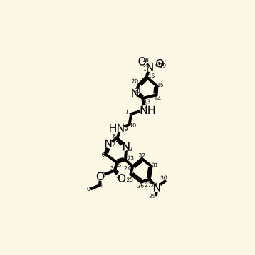 CCOC(=O)c1cnc(NCCNc2ccc([N+](=O)[O-])cn2)nc1-c1ccc(N(C)C)cc1